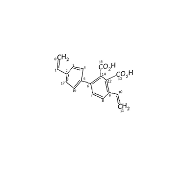 C=Cc1ccc(-c2ccc(C=C)c(C(=O)O)c2C(=O)O)cc1